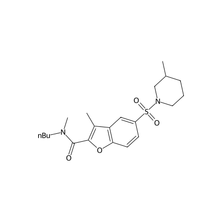 CCCCN(C)C(=O)c1oc2ccc(S(=O)(=O)N3CCCC(C)C3)cc2c1C